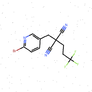 N#CC(C#N)(CCC(F)(F)F)Cc1ccc(Br)nc1